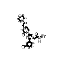 CC(C)NC(=O)Cn1cc(N2CCN(CCN3CCOCC3)CC2=O)nc1-c1cccc(Cl)c1